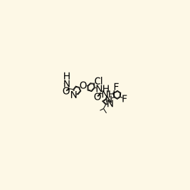 CNC(=O)c1cc(Oc2ccc(NC(=O)Nc3cc(C(C)C)nn3-c3cc(F)cc(F)c3)c(Cl)c2)ccn1